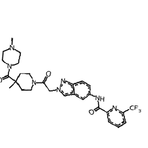 CN1CCN(C(=O)C2(C)CCN(C(=O)Cn3cc4cc(NC(=O)c5cccc(C(F)(F)F)n5)ccc4n3)CC2)CC1